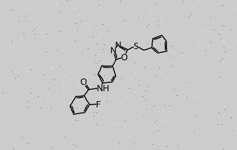 O=C(Nc1ccc(-c2nnc(SCc3ccccc3)o2)cc1)c1ccccc1F